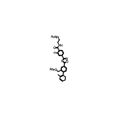 COCc1cc(-c2nc(-c3ccc(C(=O)NCCNC(C)=O)c(F)c3)no2)ccc1C1=C(C)C=CCC1